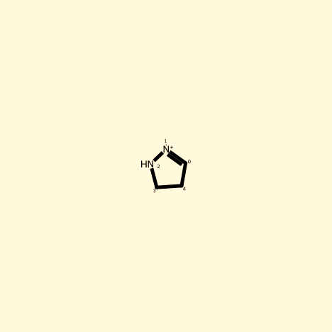 C1=[N+]NCC1